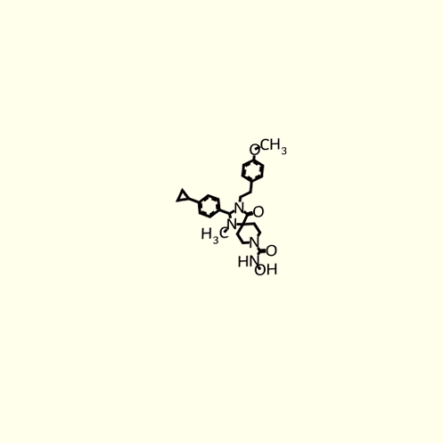 COc1ccc(CCN2C(=O)C3(CCN(C(=O)NO)CC3)N(C)C2c2ccc(C3CC3)cc2)cc1